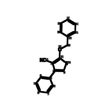 N#Cc1c(-c2ccccc2)csc1OCc1ccccc1